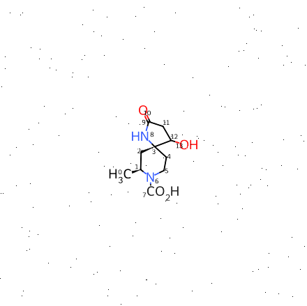 C[C@H]1C[C@@]2(CCN1C(=O)O)NC(=O)CC2O